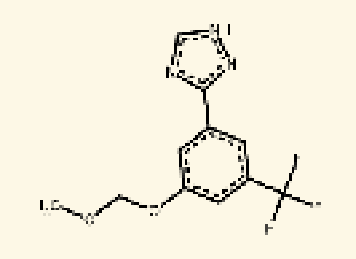 COCOc1cc(-c2nc[nH]n2)cc(C(F)(F)F)c1